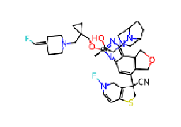 C[C@@H](O)CN1CC2CCC(C1)N2c1nc(OCC2(CN3CCC(=CF)CC3)CC2)nc2cc(C3(C#N)CSC4=C3CN(F)C=C4)c3c(c12)COC3